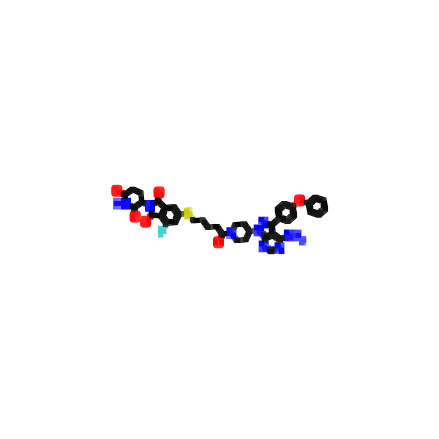 Nc1ncnc2c1c(-c1ccc(Oc3ccccc3)cc1)nn2C1CCN(C(=O)CCCCSc2cc(F)c3c(c2)C(=O)N(C2CCC(=O)NC2=O)C3=O)CC1